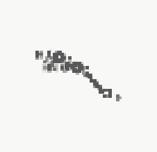 C=CCCCCCCOc1ccc(C(=O)Oc2ccc(C)c(C=N)c2)cc1